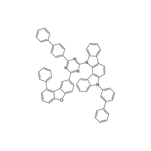 c1ccc(-c2ccc(-c3nc(-c4ccc5oc6cccc(-c7ccccc7)c6c5c4)nc(-n4c5ccccc5c5ccc6c(c7ccccc7n6-c6cccc(-c7ccccc7)c6)c54)n3)cc2)cc1